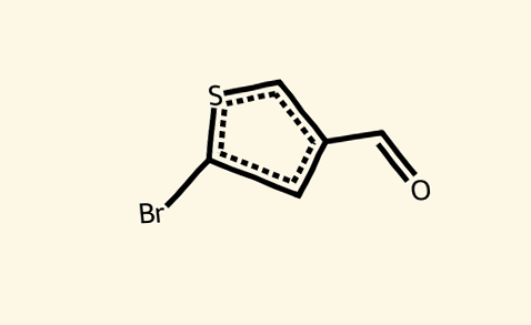 O=Cc1csc(Br)c1